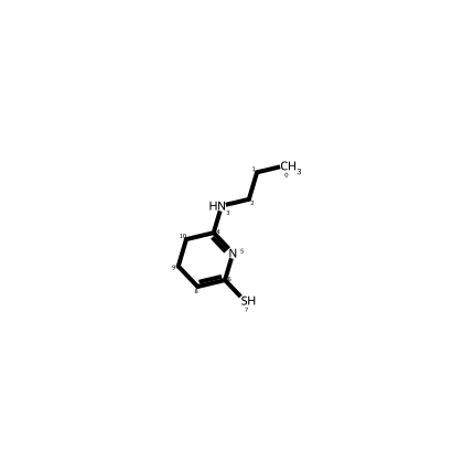 CCCNC1=NC(S)=CCC1